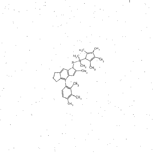 CC1=Cc2c(cc3c(c2-c2ccc(C)c(C)c2C)CCC3)[CH]1[Zr][Si](C)(C)C1C(C)=C(C)C(C)=C1C